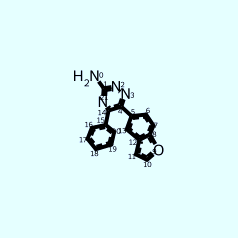 Nc1nnc(-c2ccc3occc3c2)c(-c2ccccc2)n1